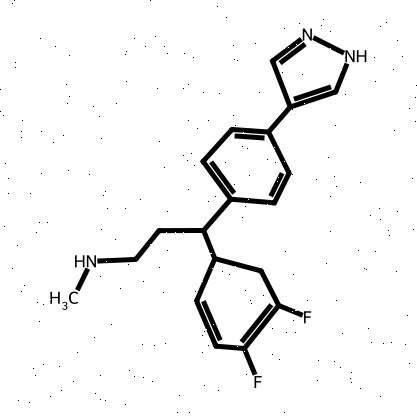 CNCCC(c1ccc(-c2cn[nH]c2)cc1)C1C=CC(F)=C(F)C1